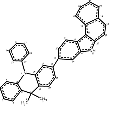 CC1(C)c2ccccc2N(c2ccccc2)c2cc(-c3ccc4c(c3)[nH]c3ccc5ccccc5c34)ccc21